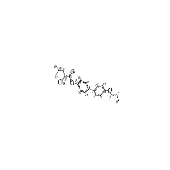 CCCOc1ccc(-c2ccc(OC(=O)C(Cl)CC(C)C)cc2)cc1